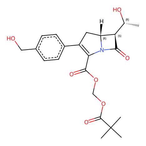 C[C@@H](O)[C@H]1C(=O)N2C(C(=O)OCOC(=O)C(C)(C)C)=C(c3ccc(CO)cc3)C[C@H]12